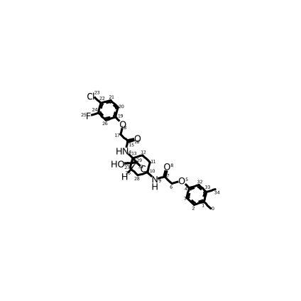 Cc1ccc(OCC(=O)NC23CCC(NC(=O)COc4ccc(Cl)c(F)c4)(CC2)[C@@H](O)C3)cc1C